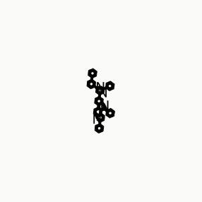 c1ccc(-c2cccc(-c3cc(-c4ccc5c(c4)nc(-c4ccccc4)c4c6ccc(-c7ccccc7)nc6ccc54)nc(-c4ccccc4)n3)c2)cc1